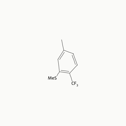 CSc1cc(C)ccc1C(F)(F)F